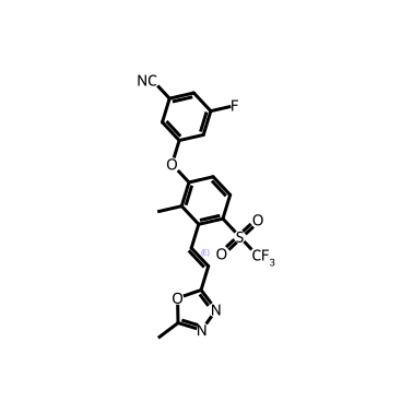 Cc1nnc(/C=C/c2c(S(=O)(=O)C(F)(F)F)ccc(Oc3cc(F)cc(C#N)c3)c2C)o1